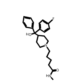 CNC(=O)CCCCN1CCC(C(O)(c2ccccc2)c2ccc(F)cc2)CC1